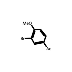 COc1ccc(C(C)=O)cc1Br